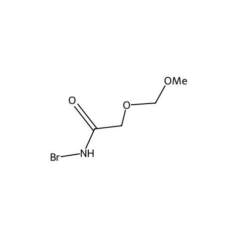 COCOCC(=O)NBr